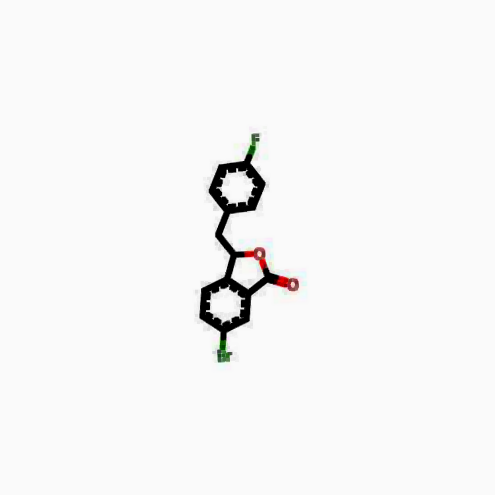 O=C1OC(Cc2ccc(F)cc2)c2ccc(Br)cc21